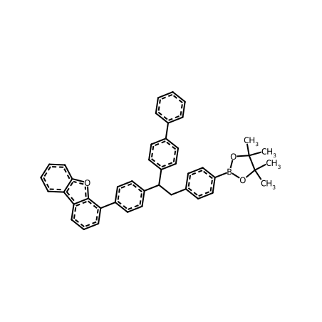 CC1(C)OB(c2ccc(CC(c3ccc(-c4ccccc4)cc3)c3ccc(-c4cccc5c4oc4ccccc45)cc3)cc2)OC1(C)C